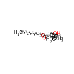 CCCCCCCCCCCCCOC(=O)CCc1ccc(O)c(C(C)(C)C)c1